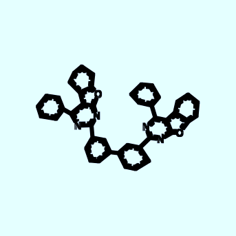 c1ccc(-c2nc(-c3cccc(-c4cccc(-c5nc(-c6ccccc6)c6c(n5)oc5ccccc56)c4)c3)nc3oc4ccccc4c23)cc1